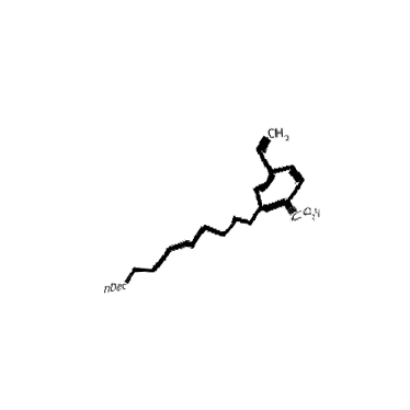 C=Cc1ccc(C(=O)O)c(CCCCCCCCCCCCCCCCCC)c1